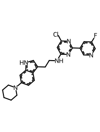 Fc1cncc(-c2nc(Cl)cc(NCCc3c[nH]c4cc(N5CCCCC5)ccc34)n2)c1